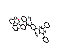 N#Cc1cc(-n2c3ccccc3c3c4c(ccc32)-c2ccccc2C42c3ccccc3Oc3ccccc32)c(C#N)cc1-c1nc(-c2ccccc2)nc(-c2ccccc2)n1